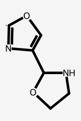 [c]1nc(C2NCCO2)co1